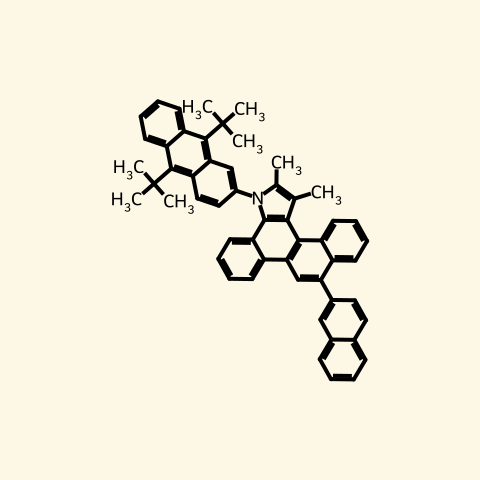 Cc1c(C)n(-c2ccc3c(C(C)(C)C)c4ccccc4c(C(C)(C)C)c3c2)c2c3ccccc3c3cc(-c4ccc5ccccc5c4)c4ccccc4c3c12